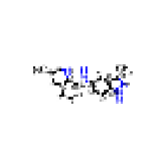 N#Cc1cnc2c(c1)CCC[C@H]2Nc1ccc2[nH]nc(C(F)(F)F)c2c1